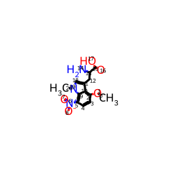 COc1ccc([N+](=O)[O-])c2c1c(CC(N)C(=O)O)cn2C